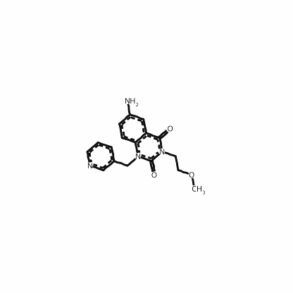 COCCn1c(=O)c2cc(N)ccc2n(Cc2cccnc2)c1=O